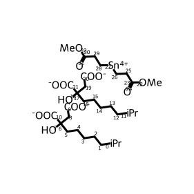 CC(C)CCCCCC(O)(CC(=O)[O-])C(=O)[O-].CC(C)CCCCCC(O)(CC(=O)[O-])C(=O)[O-].COC(=O)C[CH2][Sn+4][CH2]CC(=O)OC